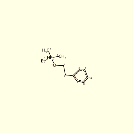 CC[PH](C)(C)OCCc1ccccc1